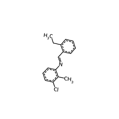 CCc1ccccc1C=Nc1cccc(Cl)c1C